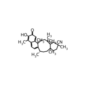 CC1=C(O)C(=O)C=C2C1=CC=C1[C@@H](C)CC[C@@]3(C)CC[C@@](C)(C#N)C[C@H]3C(C)(C)CC[C@@]21C